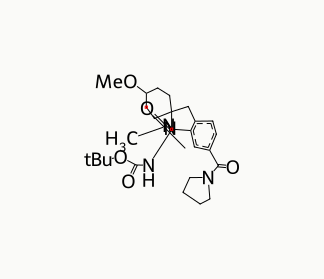 COC1CCC2(CC1)Cc1ccc(C(=O)N3CCCC3)cc1C21N=C(NC(=O)OC(C)(C)C)N(C)C1=O